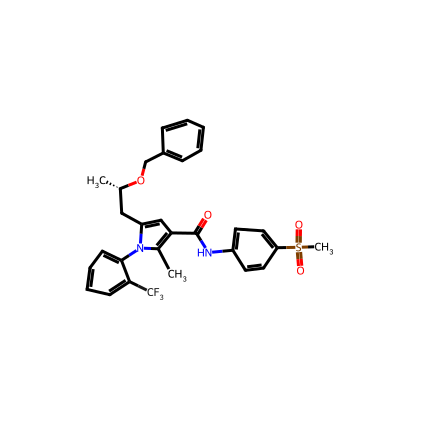 Cc1c(C(=O)Nc2ccc(S(C)(=O)=O)cc2)cc(C[C@H](C)OCc2ccccc2)n1-c1ccccc1C(F)(F)F